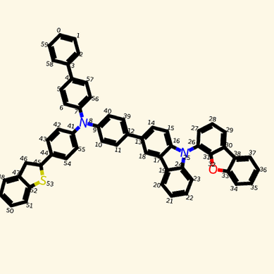 c1ccc(-c2ccc(N(c3ccc(-c4ccc5c(c4)c4ccccc4n5-c4cccc5c4oc4ccccc45)cc3)c3ccc(C4Cc5ccccc5S4)cc3)cc2)cc1